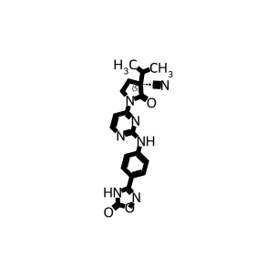 CC(C)[C@]1(C#N)CCN(c2ccnc(Nc3ccc(-c4noc(=O)[nH]4)cc3)n2)C1=O